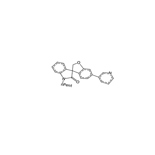 CCCCCN1C(=O)C2(COc3cc(-c4cccnc4)ccc32)c2ccccc21